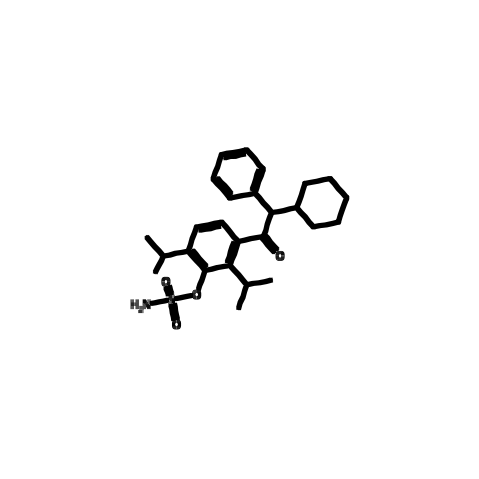 CC(C)c1ccc(C(=O)C(c2ccccc2)C2CCCCC2)c(C(C)C)c1OS(N)(=O)=O